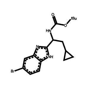 CC(C)(C)OC(=O)NC(CC1CC1)c1nc2cc(Br)ccc2[nH]1